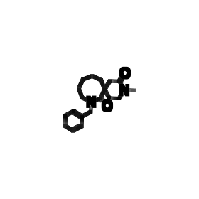 CN1CCC2(CCCCCN(Cc3ccccc3)C2=O)CC1=O